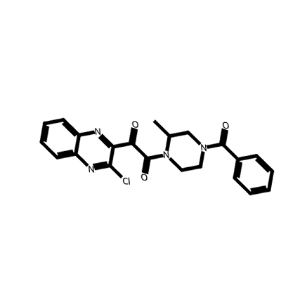 CC1CN(C(=O)c2ccccc2)CCN1C(=O)C(=O)c1nc2ccccc2nc1Cl